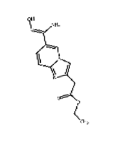 CCOC(=O)Cc1cn2cc(C(N)=NO)ccc2n1